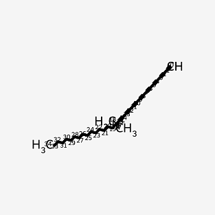 C#CC#CC#CC#CC#CC#CC#CC#C[N+](C)(C)CCCCCCCCCCCCCCCC